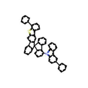 c1ccc(-c2ccc3c(c2)c2ccccc2n3-c2cccc3c2-c2ccccc2C32c3ccccc3-c3cc4sc5c(-c6ccccc6)cccc5c4cc32)cc1